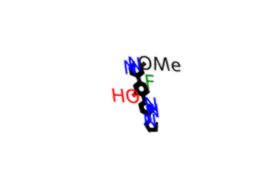 COc1cc(-c2cc(O)c(-c3ccc(N4CCCC4)nn3)cc2F)cnn1